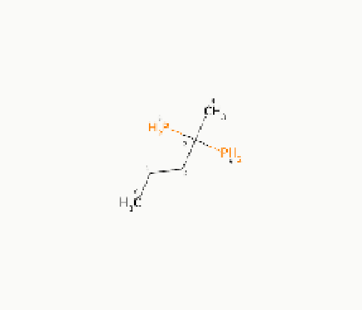 CCCC(C)(P)P